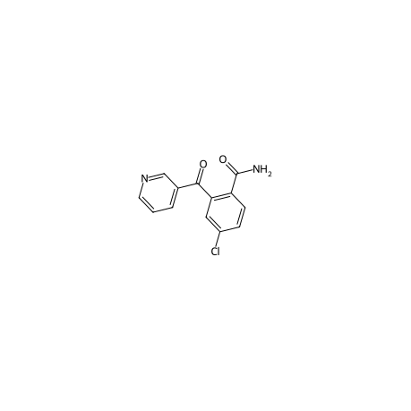 NC(=O)c1ccc(Cl)cc1C(=O)c1cccnc1